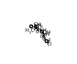 CCc1c(C(=O)NC23CCC(NC(=O)COc4ccc(Cl)c(F)c4)(CC2)[C@@H](O)C3)nn(C)c1-c1ccccc1